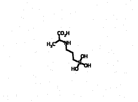 CC(NCCC[Si](O)(O)O)C(=O)O